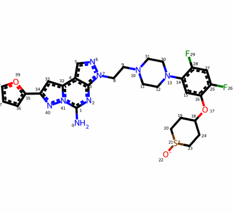 Nc1nc2c(cnn2CCN2CCN(c3cc(OC4CC[S+]([O-])CC4)c(F)cc3F)CC2)c2cc(-c3ccco3)nn12